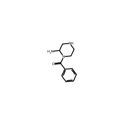 NC1CNCCN1C(=O)c1ccccc1